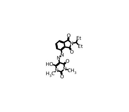 CCC(CC)N1C(=O)c2cccc(/N=N/c3c(O)n(C)c(=O)n(C)c3=O)c2C1=O